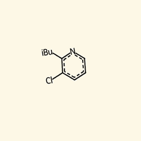 C[CH]C(C)c1ncccc1Cl